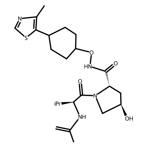 C=C(C)N[C@H](C(=O)N1C[C@H](O)C[C@H]1C(=O)NOC1CCC(c2scnc2C)CC1)C(C)C